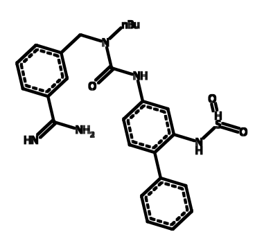 CCCCN(Cc1cccc(C(=N)N)c1)C(=O)Nc1ccc(-c2ccccc2)c(N[SH](=O)=O)c1